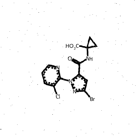 O=C(NC1(C(=O)O)CC1)c1cc(Br)nn1-c1ncccc1Cl